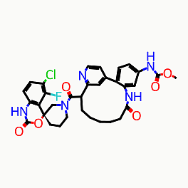 COC(=O)Nc1ccc2c(c1)NC(=O)CCCCCC(C(=O)N1CCC[C@@]3(C1)OC(=O)Nc1ccc(Cl)c(F)c13)c1cc-2ccn1